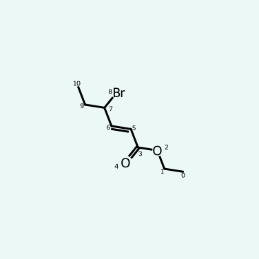 CCOC(=O)C=CC(Br)CC